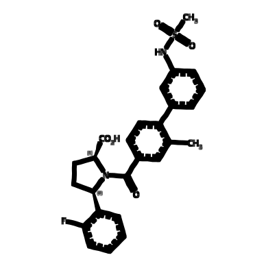 Cc1cc(C(=O)N2[C@@H](c3ccccc3F)CC[C@H]2C(=O)O)ccc1-c1cccc(NS(C)(=O)=O)c1